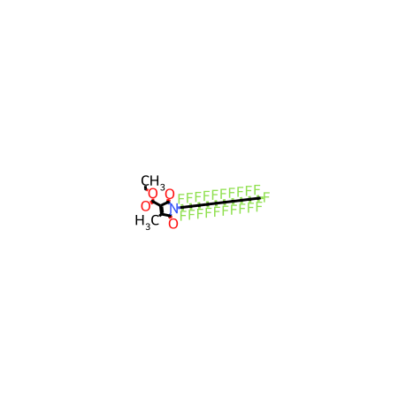 CCOC(=O)C1=C(C)C(=O)N(C(F)(F)C(F)(F)C(F)(F)C(F)(F)C(F)(F)C(F)(F)C(F)(F)C(F)(F)C(F)(F)C(F)(F)F)C1=O